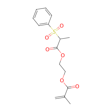 C=C(C)C(=O)OCCOC(=O)C(C)S(=O)(=O)c1ccccc1